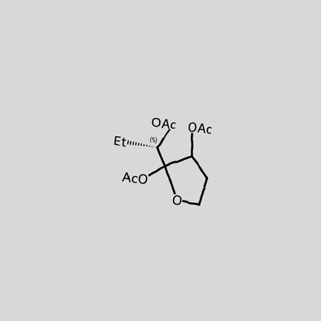 CC[C@H](OC(C)=O)C1(OC(C)=O)OCCC1OC(C)=O